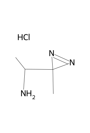 CC(N)C1(C)N=N1.Cl